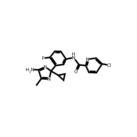 CC1=NC(c2cc(NC(=O)c3ccc(Cl)cn3)ccc2F)(C2CC2)N=C1N